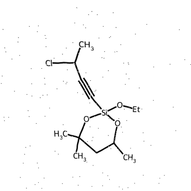 CCO[Si]1(C#CC(C)Cl)OC(C)CC(C)(C)O1